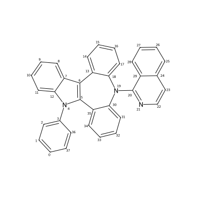 c1ccc(-n2c3c(c4ccccc42)-c2ccccc2N(c2nccc4ccccc24)c2ccccc2-3)cc1